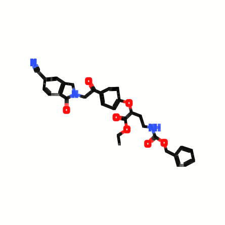 CCOC(=O)C(CCNC(=O)OCc1ccccc1)Oc1ccc(C(=O)CN2Cc3cc(C#N)ccc3C2=O)cc1